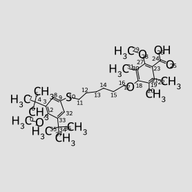 COc1c(C(C)(C)C)cc(SCCCCCCOc2c(C)c(C)c(C(=O)O)c(OC)c2C)cc1C(C)(C)C